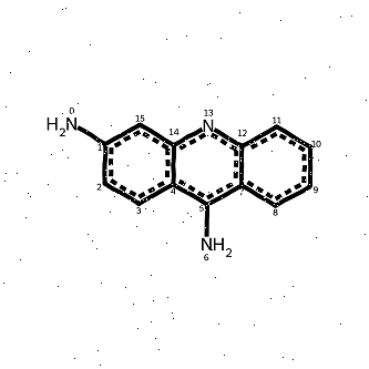 Nc1ccc2c(N)c3ccccc3nc2c1